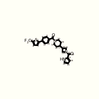 O=C(c1ccc(-c2ccc(C(F)(F)F)s2)cc1)N1CCC(C2CN(C(=O)c3ccc[nH]3)C2)CC1